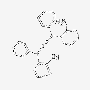 Nc1ccccc1C(=O)c1ccccc1.O=C(c1ccccc1)c1ccccc1O